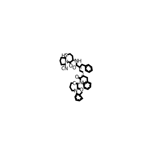 Cc1ccccc1N1CCCC[C@H](NC(=O)[C@H](CC[C@H](Cc2ccccc2)C(=O)N[C@H]2CCS[C@H]3CCC[C@@H](C#N)N3C2=O)Cc2ccccc2)C1=O